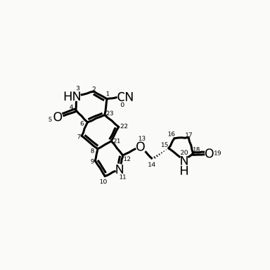 N#Cc1c[nH]c(=O)c2cc3ccnc(OC[C@@H]4CCC(=O)N4)c3cc12